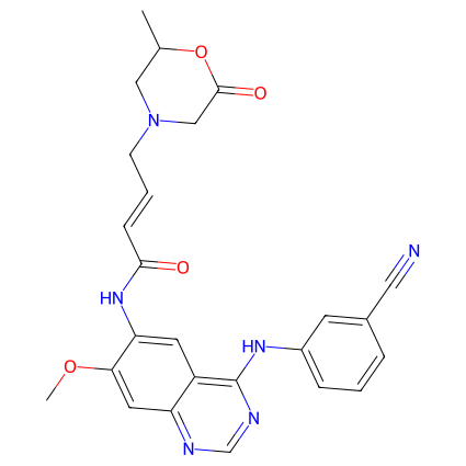 COc1cc2ncnc(Nc3cccc(C#N)c3)c2cc1NC(=O)C=CCN1CC(=O)OC(C)C1